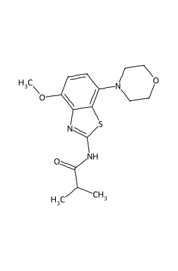 COc1ccc(N2CCOCC2)c2sc(NC(=O)C(C)C)nc12